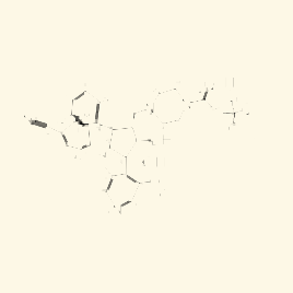 COc1cncc2c1[C@]1(O)[C@H](O)[C@H](CN3CCN(C(=O)OC(C)(C)C)CC3)C(c3ccccc3)[C@]1(c1ccc(C#N)cc1)O2